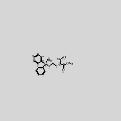 CCN[C@@H](CCO[Si](c1ccccc1)(c1ccccc1)C(C)(C)C)C(=O)OC